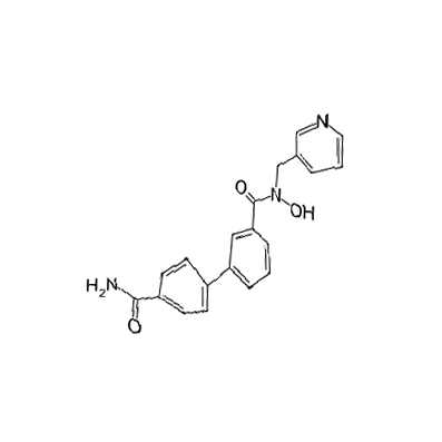 NC(=O)c1ccc(-c2cccc(C(=O)N(O)Cc3cccnc3)c2)cc1